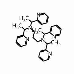 CC(c1ccccn1)N(CCCN(C(C)c1ccccn1)C(C)c1ccccn1)C(C)c1ccccn1